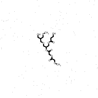 COCC(=O)OCC(=O)OC(COCC(CO)COC)COC(=O)CCO